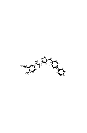 N#Cc1cc([S@+]([O-])N[C@@H]2CCN(Cc3ccc(-c4ccccc4)cc3)C2)ccc1Cl